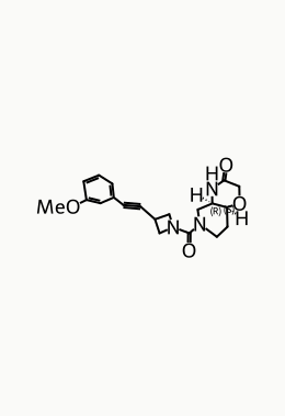 COc1cccc(C#CC2CN(C(=O)N3CC[C@@H]4OCC(=O)N[C@@H]4C3)C2)c1